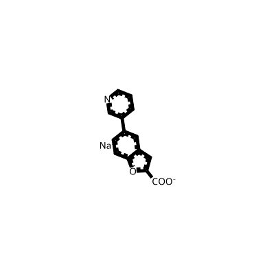 O=C([O-])c1cc2cc(-c3cccnc3)ccc2o1.[Na+]